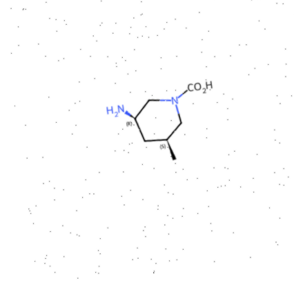 C[C@H]1C[C@@H](N)CN(C(=O)O)C1